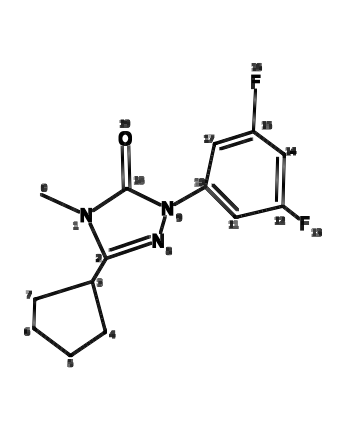 Cn1c(C2CCCC2)nn(-c2cc(F)cc(F)c2)c1=O